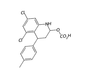 Cc1ccc(C2CC(OC(=O)O)Nc3cc(Cl)cc(Cl)c32)cc1